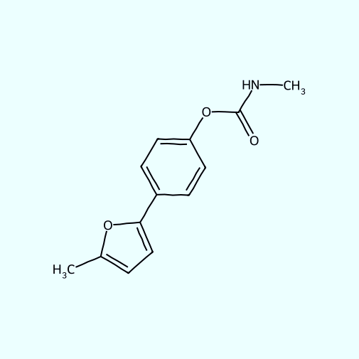 CNC(=O)Oc1ccc(-c2ccc(C)o2)cc1